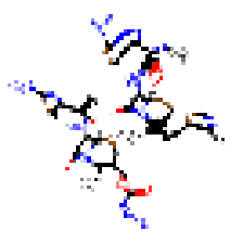 CC/C=C(\C(=O)N[C@@H]1C(=O)N2C(C(=O)O)=C(COC(N)=O)CS[C@H]12)c1csc(N)n1.CO/N=C(\C(=O)N[C@@H]1C(=O)N2C(C(=O)O)=C(/C=C\c3scnc3C)CS[C@H]12)c1csc(N)n1